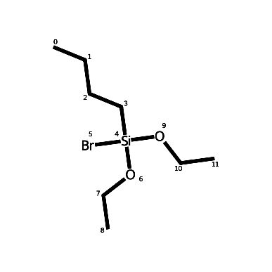 CCCC[Si](Br)(OCC)OCC